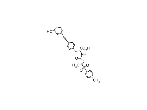 Cc1ccc(S(=O)(=O)N(C)CC(=O)NC(Cc2ccc(C#Cc3cccc(O)c3)cc2)C(=O)O)cc1